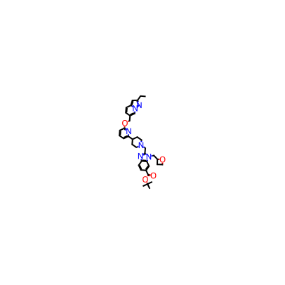 CCc1cc2ccc(COc3cccc(C4CCN(Cc5nc6ccc(C(=O)OC(C)(C)C)cc6n5CC5CCO5)CC4)n3)cn2n1